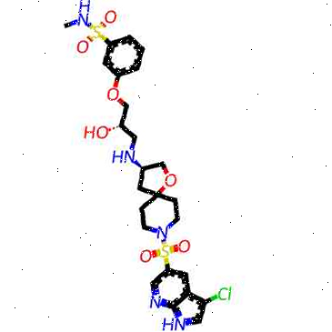 CNS(=O)(=O)c1cccc(OC[C@@H](O)CN[C@H]2COC3(CCN(S(=O)(=O)c4cnc5[nH]cc(Cl)c5c4)CC3)C2)c1